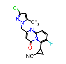 N#CC1CC1c1c(F)ccc2nc(Cn3nc(Cl)cc3C(F)(F)F)cc(=O)n12